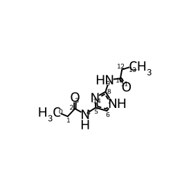 CCC(=O)Nc1c[nH]c(NC(=O)CC)n1